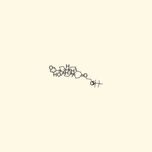 CC(C)(C)[Si](C)(C)OCCO[C@H]1CC[C@@]2(C)C(=CC[C@@H]3[C@@H]2CC[C@@]2(C)[C@H]3CC[C@@]2(O)c2ccoc2)C1